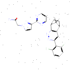 CC1(C)[C@H]2CC[C@]1(c1ccnc(-c3ccn(CC(N)=O)n3)n1)c1nnc(-c3c(F)cccc3F)cc12